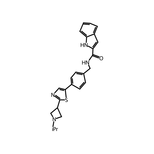 CC(C)N1CC(c2ncc(-c3ccc(CNC(=O)c4cc5ccccc5[nH]4)cc3)s2)C1